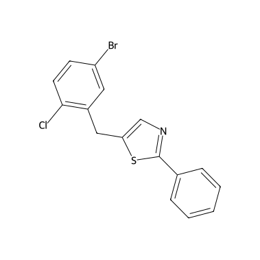 Clc1ccc(Br)cc1Cc1cnc(-c2ccccc2)s1